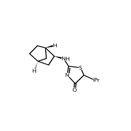 CC(C)C1SC(N[C@H]2C[C@H]3CC[C@H]2C3)=NC1=O